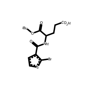 CCC(C)OC(=O)C(CCC(=O)O)NC(=O)c1ccsc1Br